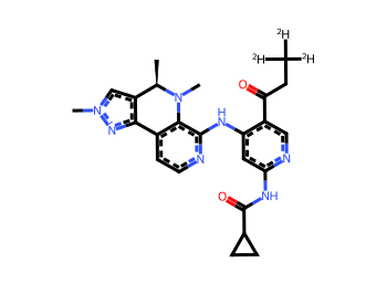 [2H]C([2H])([2H])CC(=O)c1cnc(NC(=O)C2CC2)cc1Nc1nccc2c1N(C)[C@H](C)c1cn(C)nc1-2